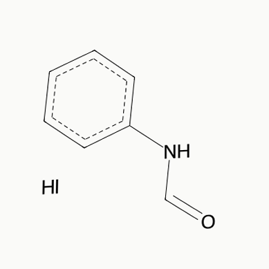 I.O=CNc1ccccc1